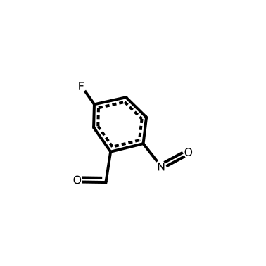 O=Cc1cc(F)ccc1N=O